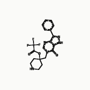 O=C(OC1(Cn2cnc3c(-c4ccccc4)n[nH]c3c2=O)CCNCC1)C(F)(F)F